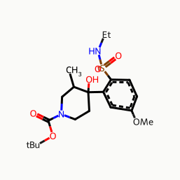 CCNS(=O)(=O)c1ccc(OC)cc1C1(O)CCN(C(=O)OC(C)(C)C)CC1C